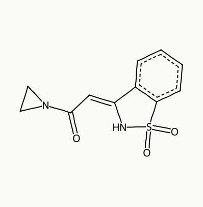 O=C(C=C1NS(=O)(=O)c2ccccc21)N1CC1